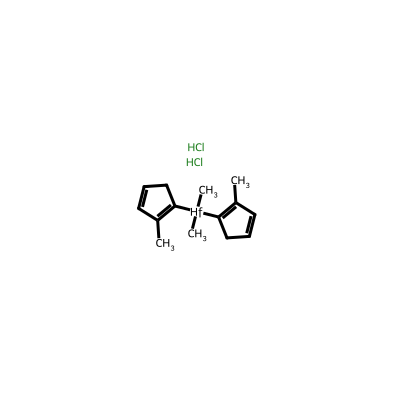 CC1=[C]([Hf]([CH3])([CH3])[C]2=C(C)C=CC2)CC=C1.Cl.Cl